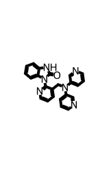 O=c1[nH]c2ccccc2n1-c1ncccc1CN(c1cccnc1)c1cccnc1